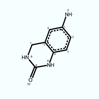 [NH]c1ccc2c(c1)CNC(=O)N2